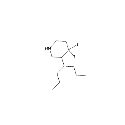 CCCC(CCC)C1CNCCC1(I)I